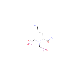 NCCC[C@@H](C(N)=O)N(CP(=O)(O)O)CP(=O)(O)O